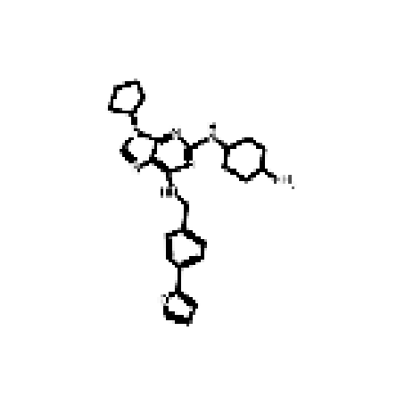 NC1CCC(Nc2nc(NCc3ccc(-c4ccco4)cc3)c3ncn(C4CCCC4)c3n2)CC1